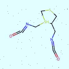 O=C=NCC1CSC[SH]1CN=C=O